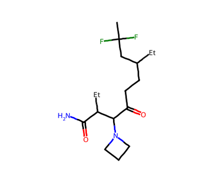 CCC(CCC(=O)C(C(CC)C(N)=O)N1CCC1)CC(C)(F)F